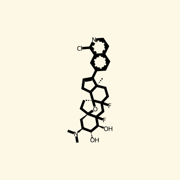 CN(C)[C@H]1C[C@@]23CC[C@]4(O2)C2CC=C(c5ccc6ccnc(Cl)c6c5)[C@@]2(C)CCC4(F)CC3(F)[C@@H](O)[C@@H]1O